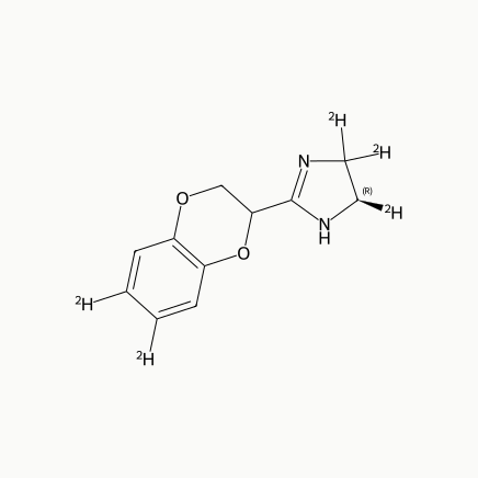 [2H]c1cc2c(cc1[2H])OC(C1=NC([2H])([2H])[C@@H]([2H])N1)CO2